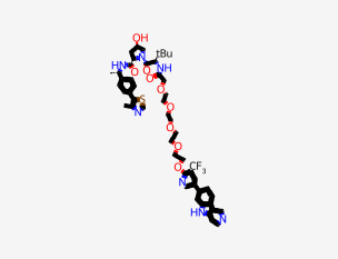 Cc1ncsc1-c1ccc([C@H](C)NC(=O)[C@@H]2C[C@@H](O)CN2C(=O)[C@@H](NC(=O)COCCOCCOCCOCCOc2ncc(-c3ccc4c(c3)[nH]c3ccncc34)cc2C(F)(F)F)C(C)(C)C)cc1